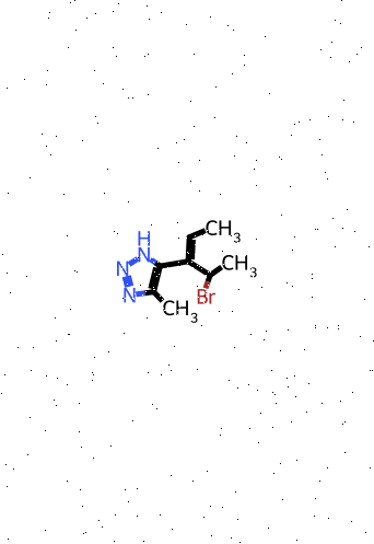 C/C=C(/c1[nH]nnc1C)C(C)Br